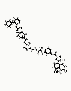 C[C@H](Cc1cccc(CC(=O)NCCCCN(C)C(=O)CCN2CCC(OC(=O)Nc3ccccc3-c3ccccc3)CC2)c1)NC[C@H](O)C1C=CC(O)=C2NC(=O)CCC21